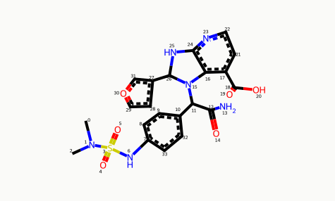 CN(C)S(=O)(=O)Nc1ccc(C(C(N)=O)N2c3c(C(=O)O)ccnc3NC2c2ccoc2)cc1